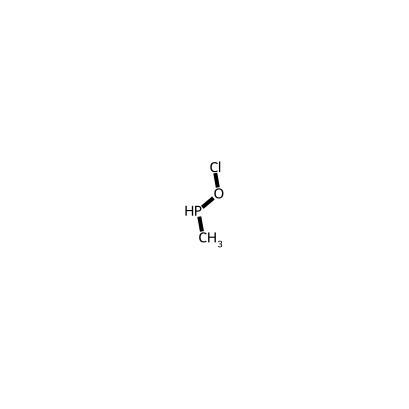 CPOCl